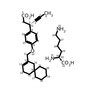 CC#C[C@@H](CC(=O)O)c1ccc(OCC2=CCCC3(CCCCC3)C2)cc1.NCCCC[C@H](N)C(=O)O